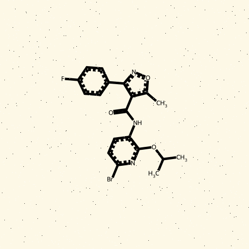 Cc1onc(-c2ccc(F)cc2)c1C(=O)Nc1ccc(Br)nc1OC(C)C